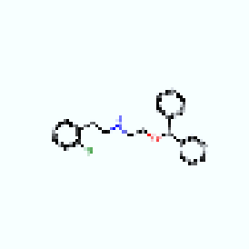 Fc1ccccc1CCNCCOC(c1ccccc1)c1ccccc1